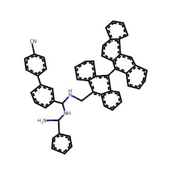 N#Cc1ccc(-c2cccc(C(NCc3c4ccccc4c(-c4c5ccccc5cc5c4ccc4ccccc45)c4ccccc34)NC(N)c3ccccc3)c2)cc1